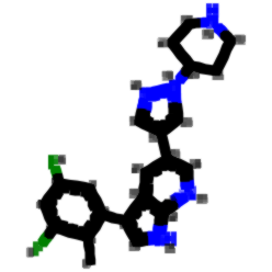 Cc1c(F)cc(F)cc1-c1c[nH]c2ncc(-c3cnn(C4CCNCC4)c3)cc12